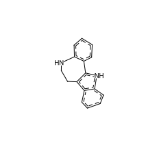 c1ccc2c(c1)NCCc1c-2[nH]c2ccccc12